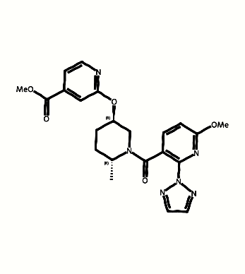 COC(=O)c1ccnc(O[C@@H]2CC[C@@H](C)N(C(=O)c3ccc(OC)nc3-n3nccn3)C2)c1